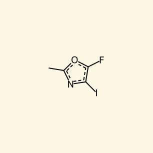 Cc1nc(I)c(F)o1